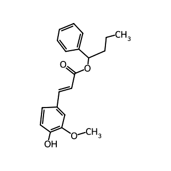 CCCC(OC(=O)C=Cc1ccc(O)c(OC)c1)c1ccccc1